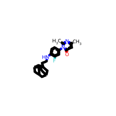 Cc1cc(=O)n(-c2ccc(NCCC34CC5CC(CC(C5)C3)C4)c(F)c2)c(C)n1